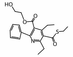 CCSC(=O)c1c(CC)nc(-c2ccccc2)c(C(=O)OCCO)c1CC